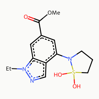 CCn1ncc2c(N3CCCS3(O)O)cc(C(=O)OC)cc21